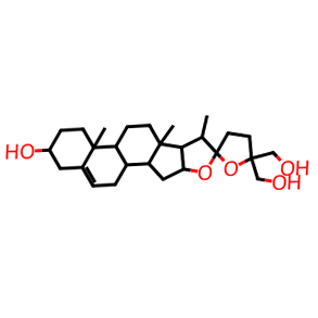 CC1C2C(CC3C4CC=C5CC(O)CCC5(C)C4CCC32C)OC12CCC(CO)(CO)O2